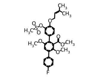 COC(=O)c1c(OC)c(-c2ccc(F)cc2)cc(OC)c1-c1ccc(OCC=C(C)C)c(OS(C)(=O)=O)c1